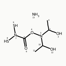 CC(O)N(OC(=O)N(S)S)C(C)O.N